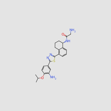 CC(C)Oc1ccc(-c2nnc(-c3cccc4c3CCC[C@H]4NC(=O)CN)s2)cc1N